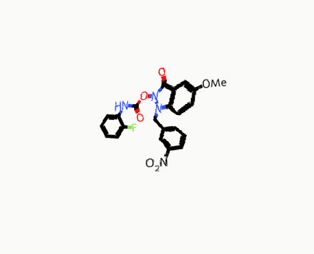 COc1ccc2c(c1)c(=O)n(OC(=O)Nc1ccccc1F)n2Cc1cccc([N+](=O)[O-])c1